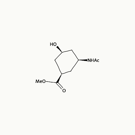 COC(=O)[C@H]1C[C@@H](O)C[C@@H](NC(C)=O)C1